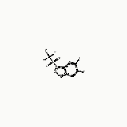 O=S(=O)(n1nnc2cc(F)c(F)cc21)C(F)(F)F